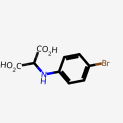 O=C(O)C(Nc1ccc(Br)cc1)C(=O)O